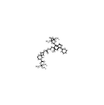 CC(C)(C)OC(=O)N1CCOC2(CC(OC(=O)OCCc3c(Cl)cc4c(cnn4C4CCCCO4)c3B3OC(C)(C)C(C)(C)O3)C2)C1